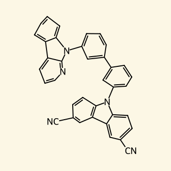 N#Cc1ccc2c(c1)c1cc(C#N)ccc1n2-c1cccc(-c2cccc(-n3c4ccccc4c4cccnc43)c2)c1